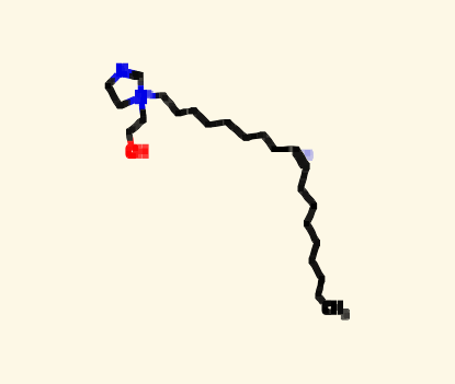 CCCCCCCC/C=C\CCCCCCCC[N+]1(CCO)C=NCC1